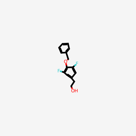 OCCc1cc(F)c(OCc2ccccc2)c(F)c1